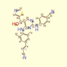 Cc1cc(/C=C/C#N)cc(C)c1Nc1nc(Nc2ccc(C#N)cc2)ncc1C(O)c1cncs1